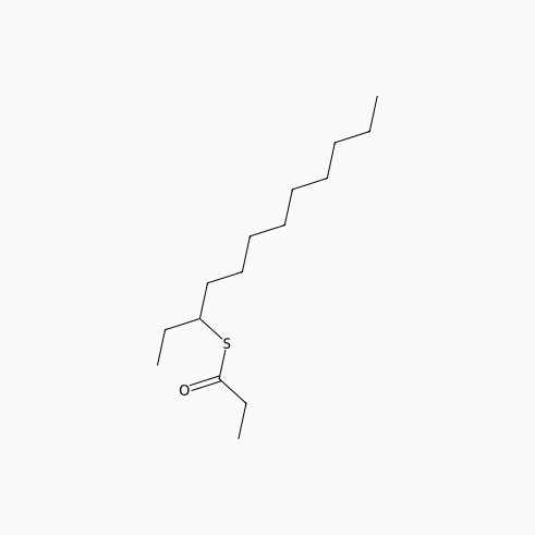 CCCCCCCCCC(CC)SC(=O)CC